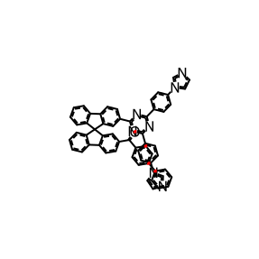 O=C(c1ccc(-c2ccccc2)cc1)c1ccc2c(c1)C1(c3ccccc3-2)c2ccccc2-c2ccc(-c3nc(-c4ccc(-n5ccnc5)cc4)nc(-c4ccc(-n5ccnc5)cc4)n3)cc21